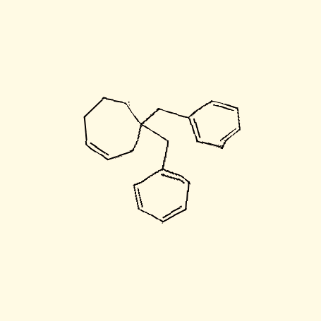 [C]1CCC=CCC1(Cc1ccccc1)Cc1ccccc1